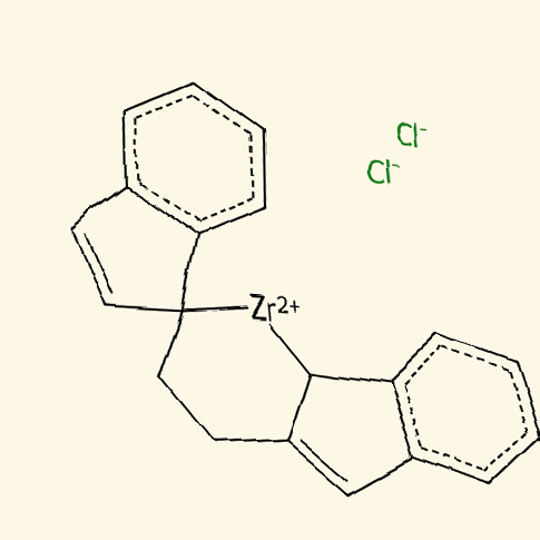 C1=C[C]2(CCC3=Cc4ccccc4[CH]3[Zr+2]2)c2ccccc21.[Cl-].[Cl-]